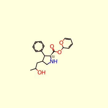 CC(O)CC1CN[C@H](C(=O)OC2C=CC=CO2)C1c1ccccc1